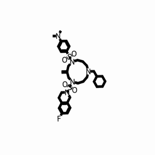 C=C1CN(S(=O)(=O)c2ccc(N(C)C)cc2)CCCN(CC2CCCCC2)CCCN(S(=O)(=O)N2CCc3cc(F)ccc3C2)C1